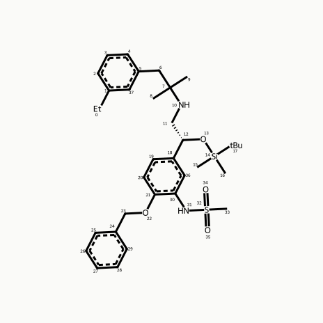 CCc1cccc(CC(C)(C)NC[C@H](O[Si](C)(C)C(C)(C)C)c2ccc(OCc3ccccc3)c(NS(C)(=O)=O)c2)c1